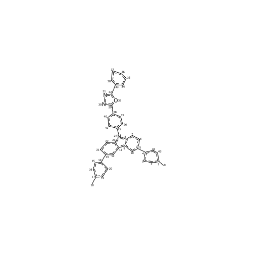 Cc1ccc(-c2ccc3c(c2)c2cc(-c4ccc(C)cc4)ccc2n3-c2ccc(-c3nnc(-c4ccccc4)o3)cc2)cc1